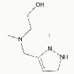 CN(CCO)CC1=CCNN1C